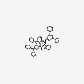 c1ccc(-c2cc(-c3ccccc3)cc(N3c4cccc5c4B(c4ccc(N(c6ccccc6)c6ccccc6)cc4N5c4ccccc4)c4oc5ccccc5c43)c2)cc1